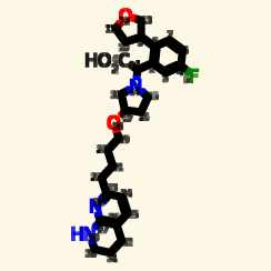 O=C(O)C(c1cc(F)ccc1C1CCOC1)N1CC[C@@H](OCCCCc2ccc3c(n2)NCCC3)C1